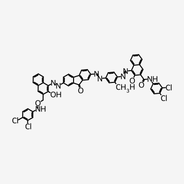 Cc1cc(N=Nc2ccc3c(c2)C(=O)c2cc(N=Nc4c(O)c(CONc5ccc(Cl)c(Cl)c5)cc5ccccc45)ccc2-3)ccc1N=Nc1c(O)c(C(=O)Nc2ccc(Cl)c(Cl)c2)cc2ccccc12